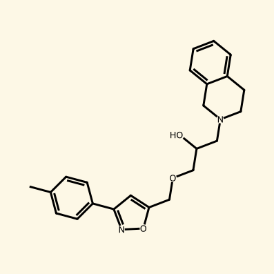 Cc1ccc(-c2cc(COCC(O)CN3CCc4ccccc4C3)on2)cc1